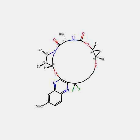 CC[C@@H]1[C@@H]2CN(C(=O)[C@H](C(C)(C)C)NC(=O)O[C@@H]3C[C@H]3OCCCC(F)(F)c3nc4ccc(OC)cc4nc3O2)[C@@H]1C(C)=O